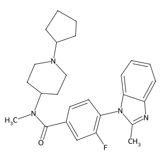 Cc1nc2ccccc2n1-c1ccc(C(=O)N(C)C2CCN(C3CCCC3)CC2)cc1F